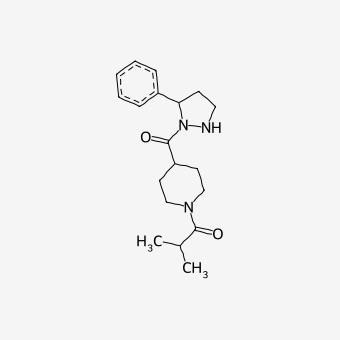 CC(C)C(=O)N1CCC(C(=O)N2NCCC2c2ccccc2)CC1